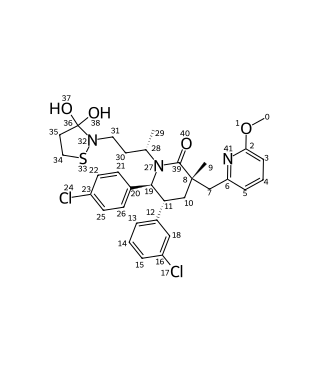 COc1cccc(C[C@]2(C)C[C@H](c3cccc(Cl)c3)[C@@H](c3ccc(Cl)cc3)N([C@@H](C)CCN3SCCC3(O)O)C2=O)n1